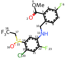 COC(=O)c1cc(F)ccc1CNc1cc([S+]([O-])CC(F)(F)F)c(Cl)cc1F